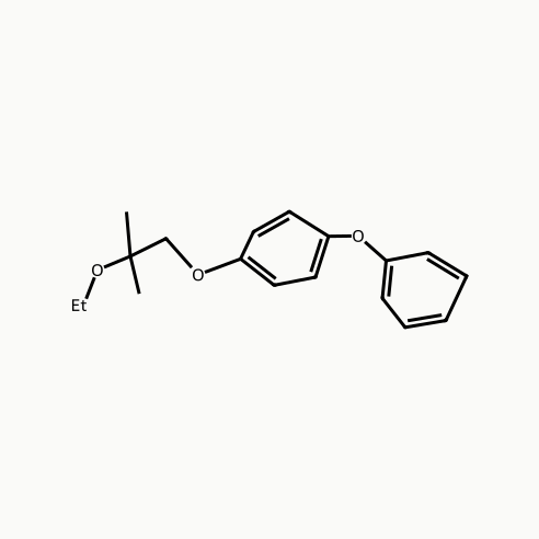 CCOC(C)(C)COc1ccc(Oc2ccccc2)cc1